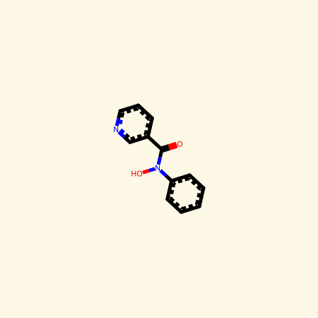 O=C(c1cccnc1)N(O)c1ccccc1